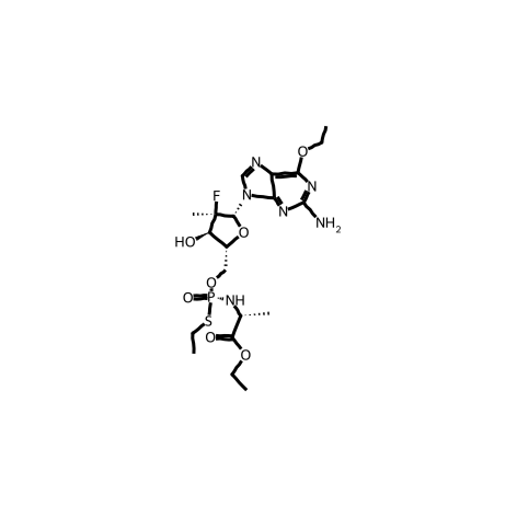 CCOC(=O)[C@@H](C)N[P@](=O)(OC[C@H]1O[C@@H](n2cnc3c(OCC)nc(N)nc32)[C@](C)(F)[C@@H]1O)SCC